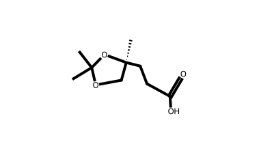 CC1(C)OC[C@](C)(CCC(=O)O)O1